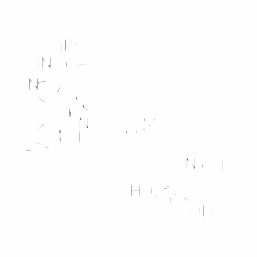 CC(C)C(C)Nc1cc(-c2nc(SCCOC(=O)CCCCN(C)C3C[C@@H](C)O[C@@H](O)C3)[nH]c2-c2ccc(F)cc2)ccn1